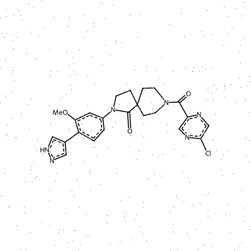 COc1cc(N2CCC3(CCN(C(=O)c4cnc(Cl)cn4)CC3)C2=O)ccc1-c1cn[nH]c1